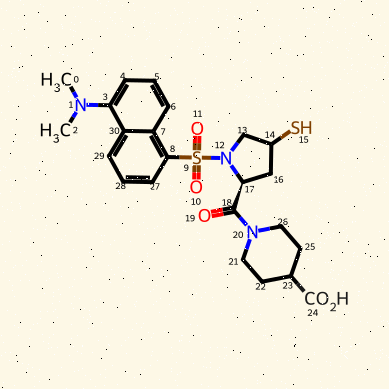 CN(C)c1cccc2c(S(=O)(=O)N3CC(S)C[C@H]3C(=O)N3CCC(C(=O)O)CC3)cccc12